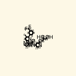 Cc1cc2c(nc1-c1cccc(C(F)F)c1)N(C(=O)Nc1ccnc(OCC(O)CO)c1)[C@H]1CCN2C1